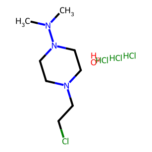 CN(C)N1CCN(CCCl)CC1.Cl.Cl.Cl.O